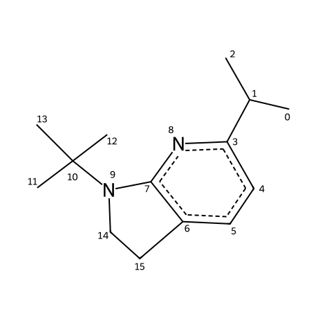 CC(C)c1ccc2c(n1)N(C(C)(C)C)CC2